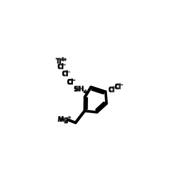 [Cl-].[Cl-].[Cl-].[Cl-].[Cl-].[Mg+][CH2]c1ccccc1.[SiH4].[Ti+4]